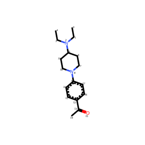 CCN(CC)C1CCN(c2ccc(C(C)=O)cc2)CC1